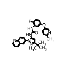 Cc1ccc(Oc2ccc(F)c(NC(=O)Nc3cc(C(C)(C)C)nn3-c3ccc4ncccc4c3)c2)cn1